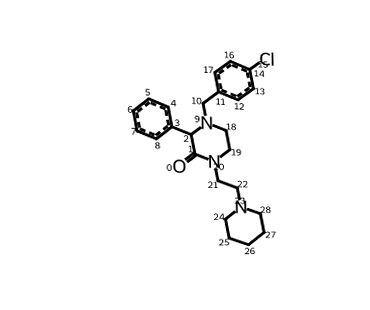 O=C1C(c2ccccc2)N(Cc2ccc(Cl)cc2)CCN1CCN1CCCCC1